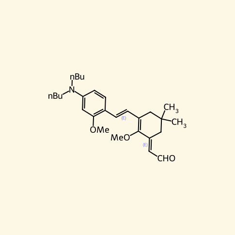 CCCCN(CCCC)c1ccc(/C=C/C2=C(OC)C(=C/C=O)/CC(C)(C)C2)c(OC)c1